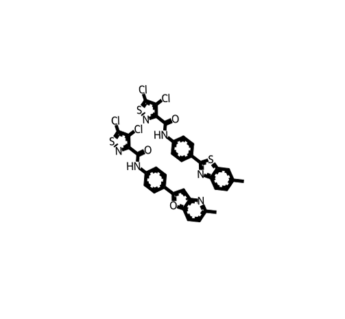 Cc1ccc2nc(-c3ccc(NC(=O)c4nsc(Cl)c4Cl)cc3)sc2c1.Cc1ccc2oc(-c3ccc(NC(=O)c4nsc(Cl)c4Cl)cc3)cc2n1